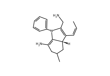 C/C=C\C1=C(CN)N(c2ccccc2)C2=C(N)CC(C)C[C@@H]12